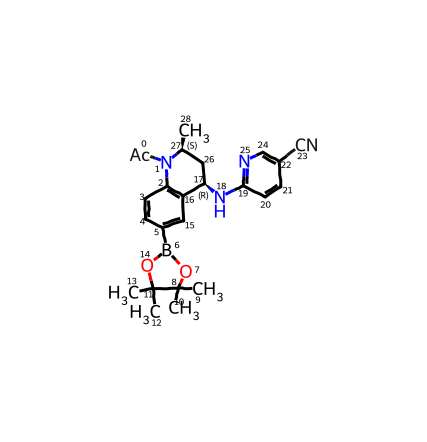 CC(=O)N1c2ccc(B3OC(C)(C)C(C)(C)O3)cc2[C@H](Nc2ccc(C#N)cn2)C[C@@H]1C